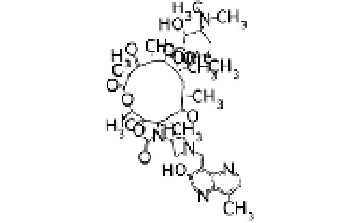 CO[C@]1(C)C[C@@H](C)C(=O)[C@H](C)[C@@H]2N(C3CN(Cc4c(O)cnc5c(C)ccnc45)C3)C(=O)O[C@]2(C)[C@@H](I)OC(=O)[C@H](C)C(=O)[C@H](C)[C@H]1O[C@@H]1O[C@H](C)C[C@H](N(C)C)[C@H]1O